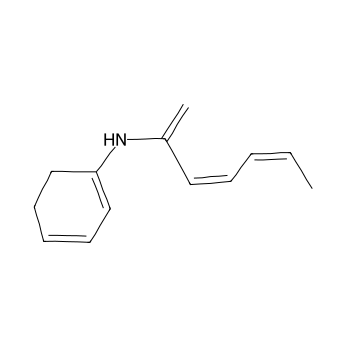 C=C(/C=C\C=C/C)NC1=CC=CCC1